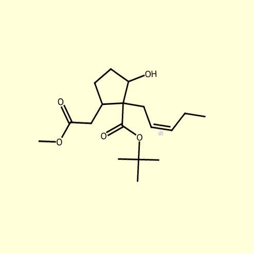 CC/C=C\CC1(C(=O)OC(C)(C)C)C(O)CCC1CC(=O)OC